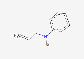 C=CC[N+](Br)c1ccccc1